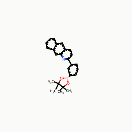 CC1(C)OB(c2cccc(-c3ccc4cc5ccccc5cc4n3)c2)OC1(C)C